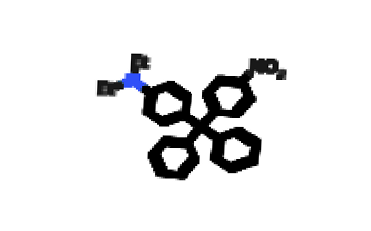 CCN(CC)c1ccc(C(c2ccccc2)(c2ccccc2)c2ccc([N+](=O)[O-])cc2)cc1